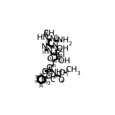 CCOC(=O)[C@@H](C)N[P@@](=O)(OC[C@H]1O[C@@H](n2cnc3c(NC)nc(N)nc32)[C@@](Cl)(CO)[C@@H]1O)Oc1ccccc1